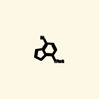 CCCCCc1ccc(CC)c2c1CC=C2